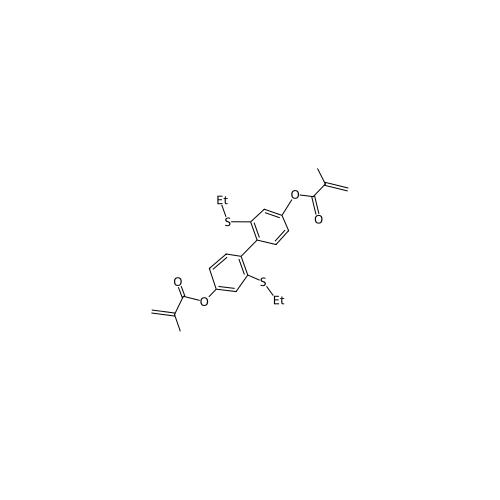 C=C(C)C(=O)Oc1ccc(-c2ccc(OC(=O)C(=C)C)cc2SCC)c(SCC)c1